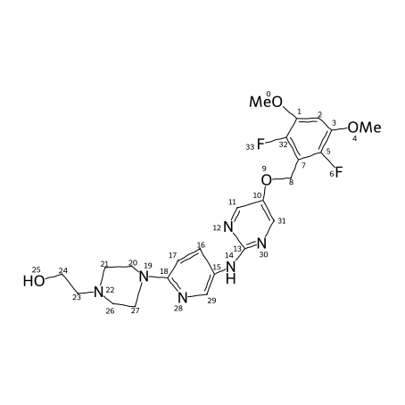 COc1cc(OC)c(F)c(COc2cnc(Nc3ccc(N4CCN(CCO)CC4)nc3)nc2)c1F